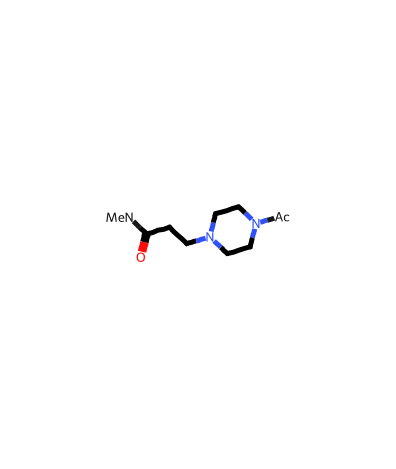 CNC(=O)CCN1CCN(C(C)=O)CC1